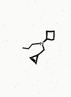 CCCN(CC1C=C1)C1CCC1